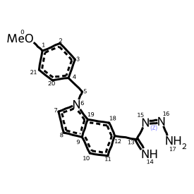 COc1ccc(Cn2ccc3ccc(C(=N)/N=N\N)cc32)cc1